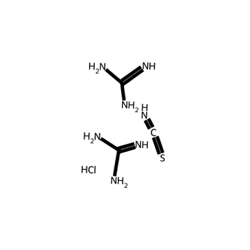 Cl.N=C(N)N.N=C(N)N.N=C=S